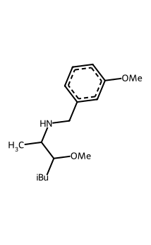 CCC(C)C(OC)C(C)NCc1cccc(OC)c1